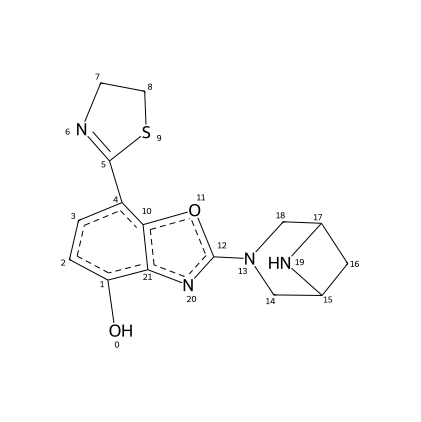 Oc1ccc(C2=NCCS2)c2oc(N3CC4CC(C3)N4)nc12